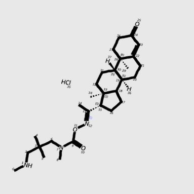 CNCC(C)(C)CN(C)C(=O)O/N=C(\C)[C@H]1CCC2[C@@H]3CCC4=CC(=O)CC[C@]4(C)[C@H]3CC[C@@]21C.Cl